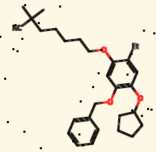 CCc1cc(OC2CCCC2)c(OCc2ccccc2)cc1OCCCCCC(C)(C)C#N